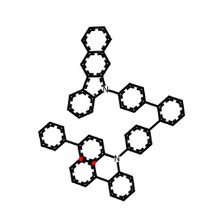 c1ccc(-c2ccc(N(c3ccc(-c4ccccc4-c4ccc(-n5c6ccccc6c6cc7ccccc7cc65)cc4)cc3)c3ccccc3-c3ccccc3)cc2)cc1